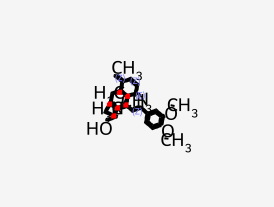 C\C=C(/C=C\C(=N\C(=C/C(C)=C1CCC1)c1ccc(OC)c(OC)c1)C(C)CC)C1CCN(CCO)CC1